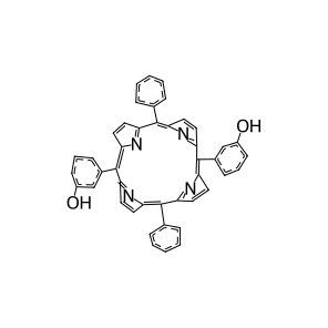 Oc1cccc(C2=C3C=CC(=N3)C(c3ccccc3)=C3C=CC(=N3)C(c3cccc(O)c3)=C3C=CC(=N3)C(c3ccccc3)=C3C=CC2=N3)c1